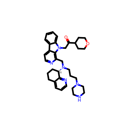 O=C(Cn1c2ccccc2c2ccnc(CN(CCCN3CCNCC3)[C@H]3CCCc4cccnc43)c21)C1CCOCC1